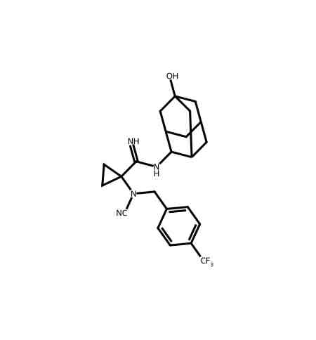 N#CN(Cc1ccc(C(F)(F)F)cc1)C1(C(=N)NC2C3CC4CC2CC(O)(C4)C3)CC1